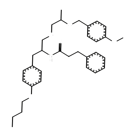 CCCCOc1ccc(CC(COCC(C)OCc2ccc(OC)cc2)NC(=O)CCc2ccccc2)cc1